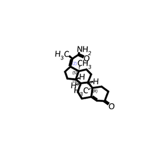 C/C(C(N)=O)=C1\CC[C@H]2[C@@H]3CCC4=CC(=O)CC[C@]4(C)[C@H]3CC[C@]12C